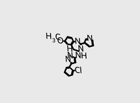 COc1ccc2c(c1)CC(Nc1cc(-c3ccccc3Cl)n[nH]1)=NC(c1cccnc1)=N2